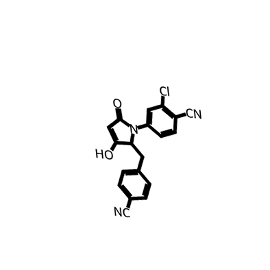 N#Cc1ccc(CC2C(O)=CC(=O)N2c2ccc(C#N)c(Cl)c2)cc1